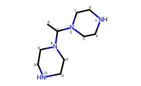 CC(N1CCNCC1)N1CCNCC1